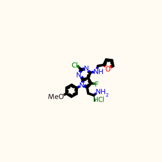 COc1ccc(-n2c(C[C@H](C)N)c(F)c3c(NCc4ccco4)nc(Cl)nc32)cc1.Cl